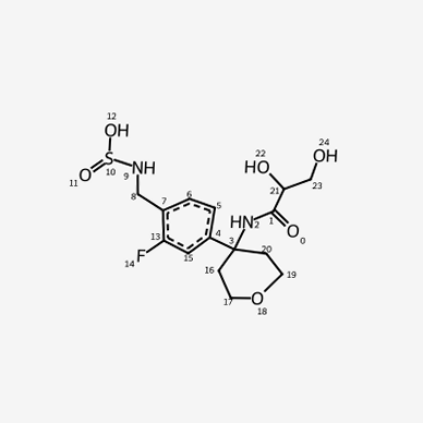 O=C(NC1(c2ccc(CNS(=O)O)c(F)c2)CCOCC1)C(O)CO